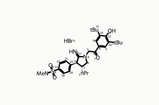 Br.CCC[C@H]1CN(CC(=O)c2cc(C(C)(C)C)c(O)c(C(C)(C)C)c2)C(=N)[C@@H]1c1ccc(S(=O)(=O)NC)cc1